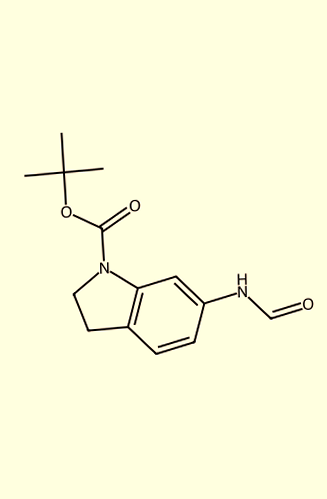 CC(C)(C)OC(=O)N1CCc2ccc(NC=O)cc21